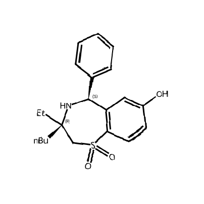 CCCC[C@]1(CC)CS(=O)(=O)c2ccc(O)cc2[C@H](c2ccccc2)N1